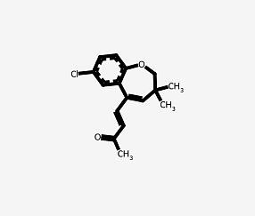 CC(=O)C=CC1=CC(C)(C)COc2ccc(Cl)cc21